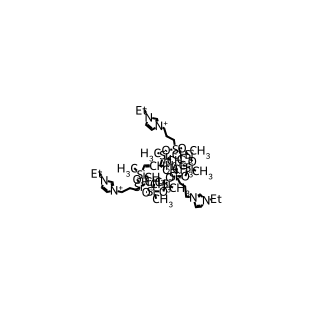 C=C[Si](C)(C)O[Si](C)(CCC[n+]1ccn(CC)c1)O[Si](C)(C)O[Si](C)(C)O[Si](C)(CCC[n+]1ccn(CC)c1)O[Si](C)(C)O[Si](C)(C)O[Si](C)(CCC[n+]1ccn(CC)c1)O[Si](C)(C)C=C